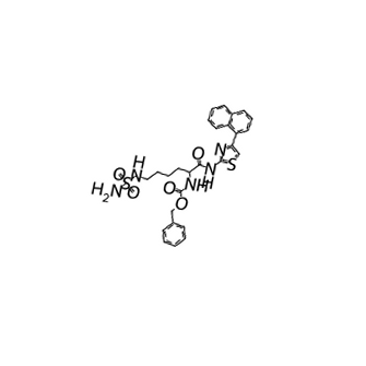 NS(=O)(=O)NCCCCC(NC(=O)OCc1ccccc1)C(=O)Nc1nc(-c2cccc3ccccc23)cs1